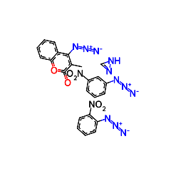 C1=NN1.Cc1c(N=[N+]=[N-])c2ccccc2oc1=O.[N-]=[N+]=Nc1cccc([N+](=O)[O-])c1.[N-]=[N+]=Nc1ccccc1[N+](=O)[O-]